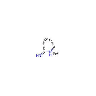 N=c1cccc[nH]1.[Fe+2]